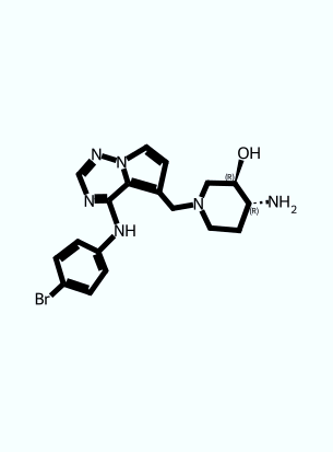 N[C@@H]1CCN(Cc2ccn3ncnc(Nc4ccc(Br)cc4)c23)C[C@H]1O